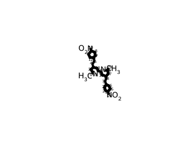 Cc1cc(CCc2ccc([N+](=O)[O-])cc2)cc(-c2cc(CCc3ccc([N+](=O)[O-])cc3)cc(C)n2)n1